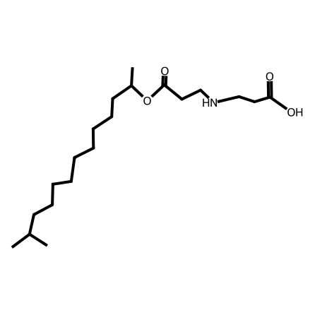 CC(C)CCCCCCCCCC(C)OC(=O)CCNCCC(=O)O